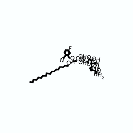 CCCCCCCCCCCCCCCCCCOC[C@H](COP(=O)(O)OC[C@H]1OC(C#N)(c2ccc3c(N)ncnn23)[C@H](O)[C@@H]1O)OCc1cc(F)ccc1C#N